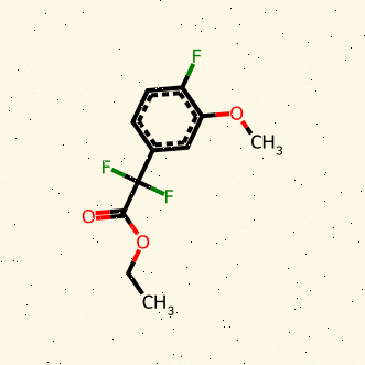 CCOC(=O)C(F)(F)c1ccc(F)c(OC)c1